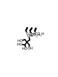 C=CC(=O)O.C=CC(=O)O.C=CC(=O)O.OCC(CO)(CO)C(O)O